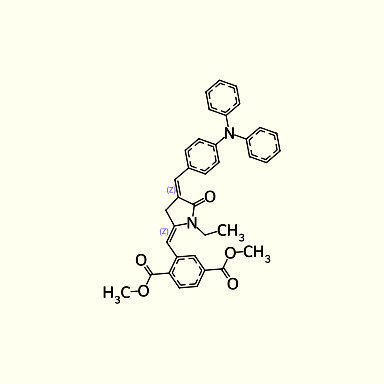 CCN1C(=O)/C(=C\c2ccc(N(c3ccccc3)c3ccccc3)cc2)C/C1=C/c1cc(C(=O)OC)ccc1C(=O)OC